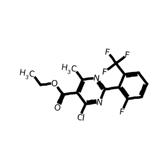 CCOC(=O)c1c(C)nc(-c2c(F)cccc2C(F)(F)F)nc1Cl